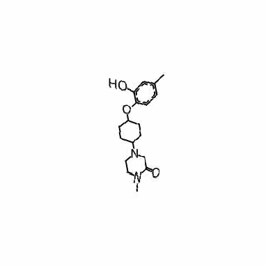 Cc1ccc(OC2CCC(N3CCN(C)C(=O)C3)CC2)c(O)c1